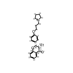 CC[C@H]1[C@@H](c2ccc(OCCCN3CCCC3)cc2)Oc2ccccc2[S+]1[O-]